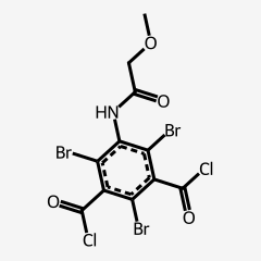 COCC(=O)Nc1c(Br)c(C(=O)Cl)c(Br)c(C(=O)Cl)c1Br